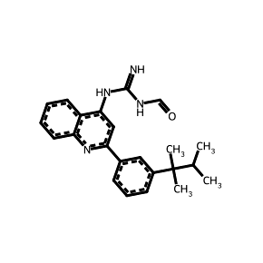 CC(C)C(C)(C)c1cccc(-c2cc(NC(=N)NC=O)c3ccccc3n2)c1